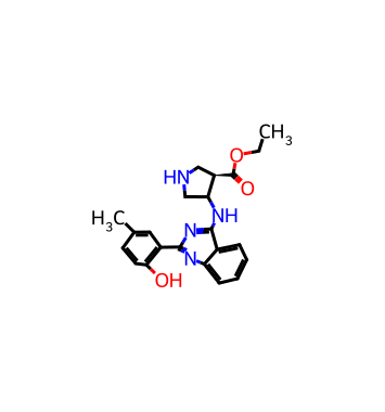 CCOC(=O)[C@@H]1CNCC1Nc1nc(-c2cc(C)ccc2O)nc2ccccc12